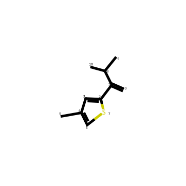 C=C(c1cc(C)cs1)C(C)C